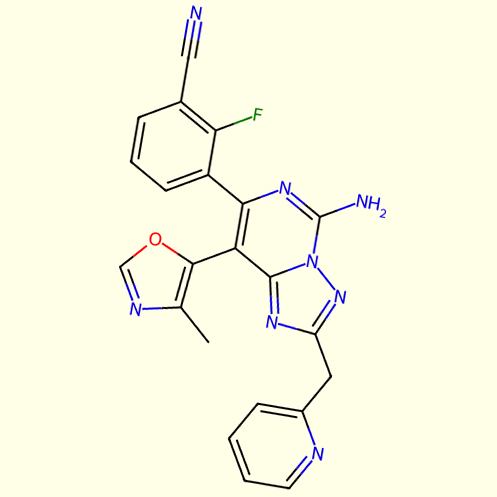 Cc1ncoc1-c1c(-c2cccc(C#N)c2F)nc(N)n2nc(Cc3ccccn3)nc12